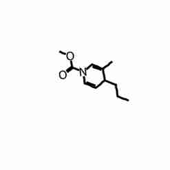 CCCC1C=CN(C(=O)OC)C=C1C